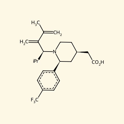 C=C(C)C(=C)[C@H](C(C)C)N1CC[C@@H](CC(=O)O)C[C@H]1c1ccc(C(F)(F)F)cc1